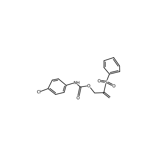 C=C(COC(=O)Nc1ccc(Cl)cc1)S(=O)(=O)c1ccccc1